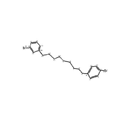 Brc1ccc(CCCCCCCCCc2cccc(Br)c2)cc1